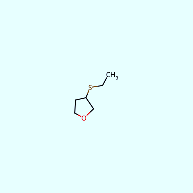 CCSC1CCOC1